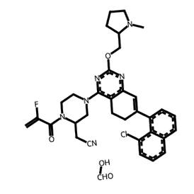 C=C(F)C(=O)N1CCN(c2nc(OCC3CCCN3C)nc3c2CCC(c2cccc4cccc(Cl)c24)=C3)CC1CC#N.O=CO